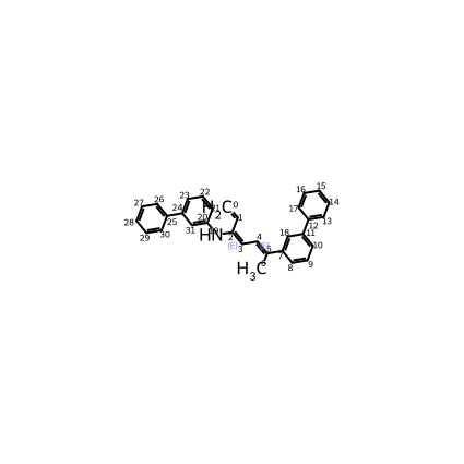 C=C/C(=C\C=C(/C)c1cccc(-c2ccccc2)c1)Nc1cccc(-c2ccccc2)c1